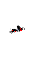 Cn1c(=O)c2c(CC(=O)/N=c3\scc(-c4ccc(F)c(C(F)(F)F)c4F)n3COC(=O)CN)csc2n(C)c1=O